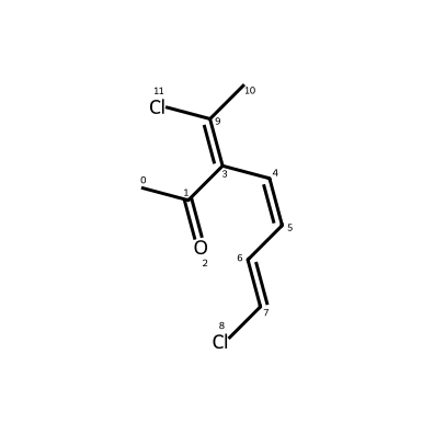 CC(=O)C(/C=C\C=C\Cl)=C(/C)Cl